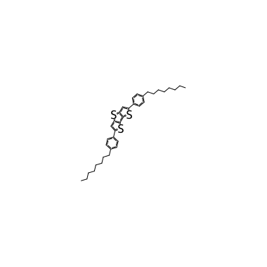 CCCCCCCCc1ccc(-c2cc3sc4cc(-c5ccc(CCCCCCCC)cc5)sc4c3s2)cc1